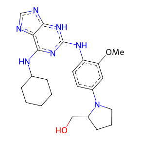 COc1cc(N2CCCC2CO)ccc1Nc1nc(NC2CCCCC2)c2ncnc-2[nH]1